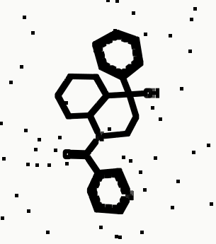 O=C(c1cccnc1)N1CCC(O)(c2ccccc2)C2CCCCC21